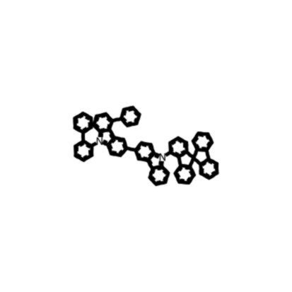 c1ccc(-c2ccccc2-n2c3ccc(-c4ccc5c(c4)c4ccccc4n5-c4cccc5c4-c4ccccc4C54c5ccccc5-c5ccccc54)cc3c3c(-c4ccccc4)cccc32)cc1